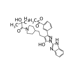 CC(C)(O)C(=O)N1CCC(CCc2c(-c3cccc(S(C)(=O)=O)c3)nn(-c3nc4ccccc4[nH]3)c2O)CC1